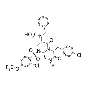 CC(C)N1CC2N(C(=O)C(N(Cc3ccccc3)C(=O)O)CN2S(=O)(=O)c2ccc(OC(F)(F)F)cc2Cl)C(Cc2ccc(Cl)cc2)C1=O